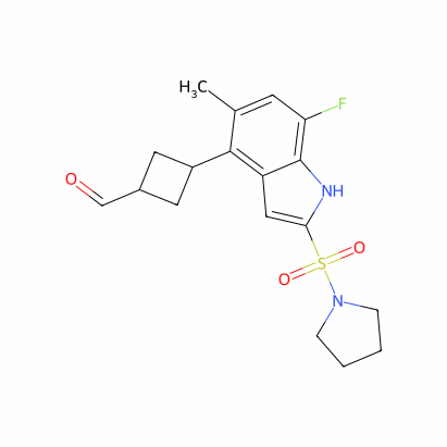 Cc1cc(F)c2[nH]c(S(=O)(=O)N3CCCC3)cc2c1C1CC(C=O)C1